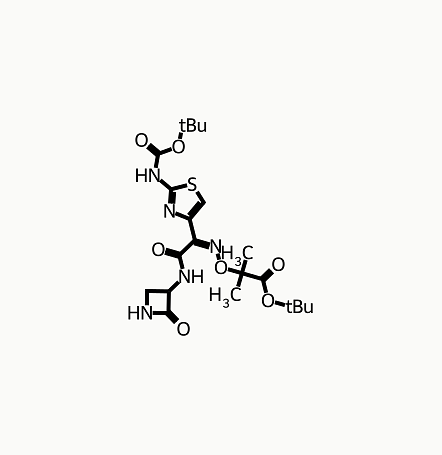 CC(C)(C)OC(=O)Nc1nc(C(=NOC(C)(C)C(=O)OC(C)(C)C)C(=O)NC2CNC2=O)cs1